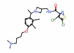 Cc1c(OCCCCN(C)C)ccc(C(C)N2CC(CNC(=O)c3nsc(Cl)c3Cl)C2)c1C